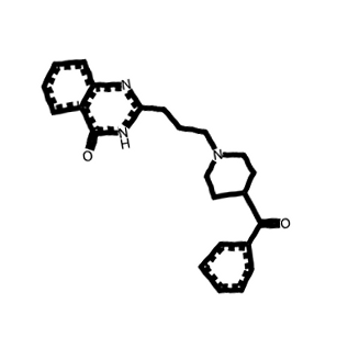 O=C(c1ccccc1)C1CCN(CCCc2nc3ccccc3c(=O)[nH]2)CC1